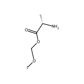 C[C@H](N)C(=O)OCOI